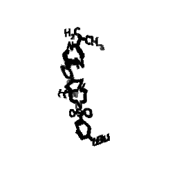 C=C(C)c1cnc(O[C@@H]2C[C@H]3CN(S(=O)(=O)c4cccc(C(C)(C)C)c4)CCN3C2)cn1